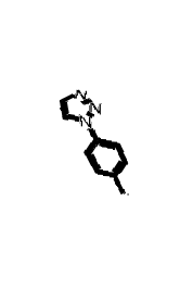 [CH2]c1ccc(-n2ccnn2)cc1